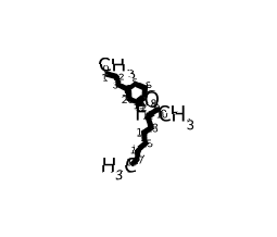 CC=CCc1ccc(OC(C)C(F)CCCCCC)cc1